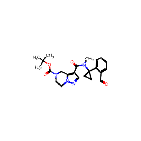 CN(C(=O)c1cnn2c1CN(C(=O)OC(C)(C)C)CC2)C1(c2ccccc2C=O)CC1